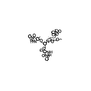 CCCOCCOCCN(C[C@H](C)SCCCC(=O)ON1C(=O)CCC1=O)c1cc(COc2cc3c(cc2C)C(=O)N2c4ccccc4C[C@H]2C=N3)cc(COc2cc3c(cc2OC)C(=O)N2c4ccccc4C[C@H]2CN3)c1